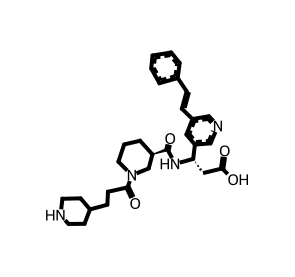 O=C(O)C[C@H](NC(=O)[C@@H]1CCCN(C(=O)CCC2CCNCC2)C1)c1cncc(/C=C/c2ccccc2)c1